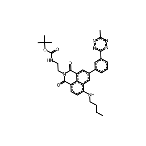 CCCCNc1ccc2c3c(cc(-c4cccc(-c5nnc(C)nn5)c4)cc13)C(=O)N(CCNC(=O)OC(C)(C)C)C2=O